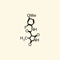 COc1ccc(NC(=O)C2C(=O)NC(=O)C2C)c(F)c1